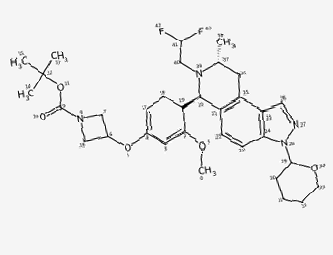 COC1=CC(OC2CN(C(=O)OC(C)(C)C)C2)=CCC1[C@@H]1c2ccc3c(cnn3C3CCCCO3)c2C[C@@H](C)N1CC(F)F